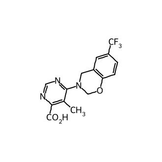 Cc1c(C(=O)O)ncnc1N1COc2ccc(C(F)(F)F)cc2C1